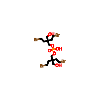 O=P(O)(OCC(CO)(CCBr)CCBr)OCC(CO)(CCBr)CCBr